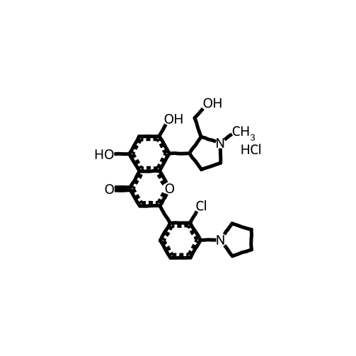 CN1CCC(c2c(O)cc(O)c3c(=O)cc(-c4cccc(N5CCCC5)c4Cl)oc23)C1CO.Cl